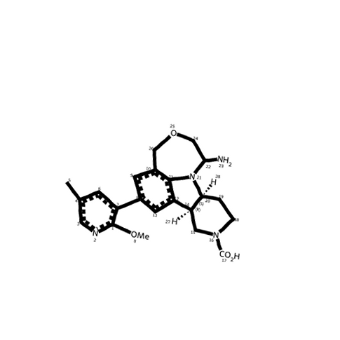 COc1ncc(C)cc1-c1cc2c3c(c1)[C@@H]1CN(C(=O)O)CC[C@@H]1N3C(N)COC2